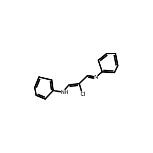 ClC(C=Nc1ccccc1)=CNc1ccccc1